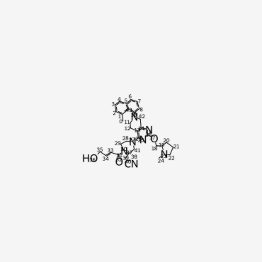 Cc1cccc2cccc(N3CCc4c(nc(OC[C@H]5CCCN5C)nc4N4CCN(C(=O)/C=C/CO)[C@](C)(CC#N)C4)C3)c12